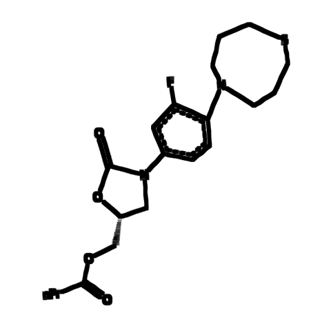 CCCC(=O)OC[C@H]1CN(c2ccc(N3CCCSCCC3)c(F)c2)C(=O)O1